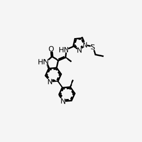 CCSn1ccc(N/C(C)=C2\C(=O)Nc3cnc(-c4cnccc4C)cc32)n1